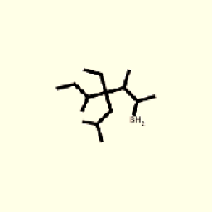 BC(C)C(C)C(CC)(CC(C)C)C(C)CC